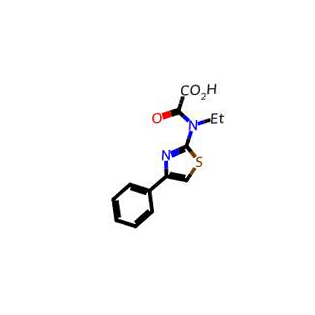 CCN(C(=O)C(=O)O)c1nc(-c2ccccc2)cs1